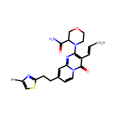 CC(C)c1csc(CCc2ccn3c(=O)c(C=CC(=O)O)c(N4CCOCC4C(N)=O)nc3c2)n1